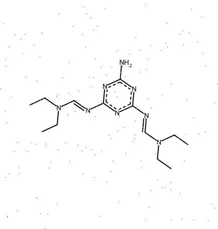 CCN(C=Nc1nc(N)nc(N=CN(CC)CC)n1)CC